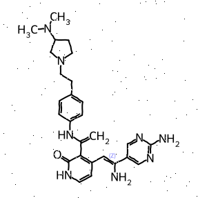 C=C(Nc1ccc(CCN2CCC(N(C)C)C2)cc1)c1c(/C=C(\N)c2cnc(N)nc2)cc[nH]c1=O